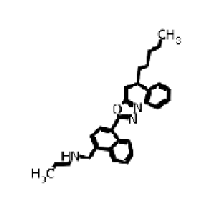 CCCCCC(Cc1nnc(-c2ccc(CNCCC)c3ccccc23)o1)c1ccccc1